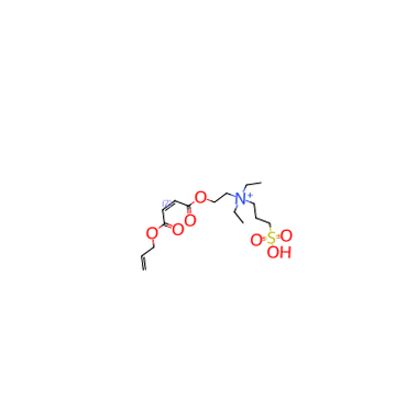 C=CCOC(=O)/C=C\C(=O)OCC[N+](CC)(CC)CCCS(=O)(=O)O